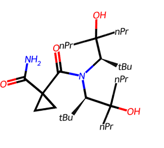 CCCC(O)(CCC)[C@H](N(C(=O)C1(C(N)=O)CC1)[C@H](C(C)(C)C)C(O)(CCC)CCC)C(C)(C)C